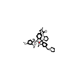 COc1ccc(S(=O)(=O)N2C(=O)C(c3ccc(CN4CCCC4)cc3OC)(N3CCC[C@@H]3OC(=O)N(C)C)c3cc(Cl)ccc32)c(OC)c1